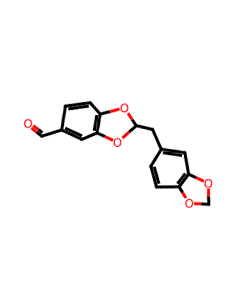 O=Cc1ccc2c(c1)OC(Cc1ccc3c(c1)OCO3)O2